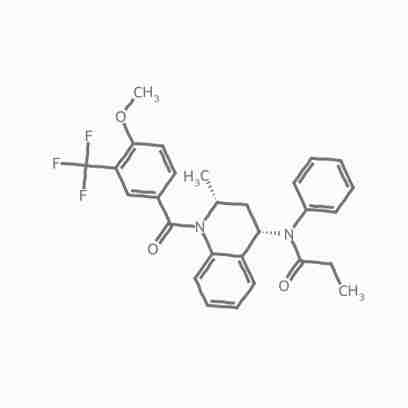 CCC(=O)N(c1ccccc1)[C@H]1C[C@@H](C)N(C(=O)c2ccc(OC)c(C(F)(F)F)c2)c2ccccc21